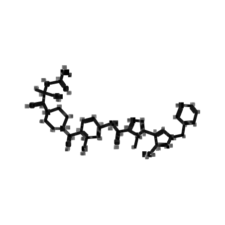 Cn1c(-c2cn(Cc3cccnc3)nc2C(F)(F)F)cnc1C(=O)Nc1ccc(C(=O)N2CCN(C(=O)C(C)(OC(N)=O)C(C)(C)C)CC2)c(Cl)c1